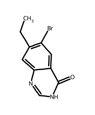 CCc1cc2nc[nH]c(=O)c2cc1Br